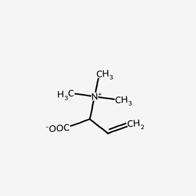 C=CC(C(=O)[O-])[N+](C)(C)C